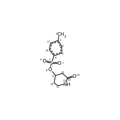 Cc1ccc(S(=O)(=O)OC2CCNC(=O)C2)cc1